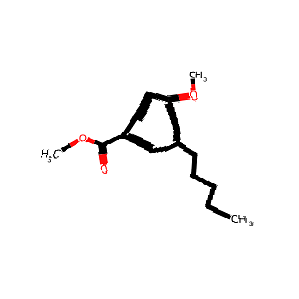 CCCCCc1cc(C(=O)OC)ccc1OC